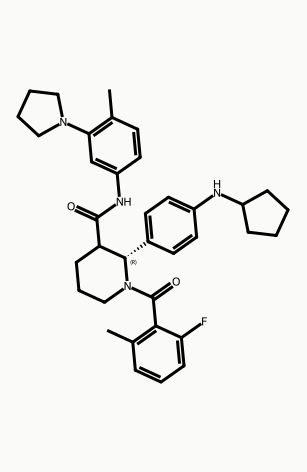 Cc1ccc(NC(=O)C2CCCN(C(=O)c3c(C)cccc3F)[C@H]2c2ccc(NC3CCCC3)cc2)cc1N1CCCC1